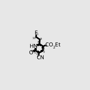 CCOC(=O)c1cc(C#N)c(=O)[nH]c1CCF